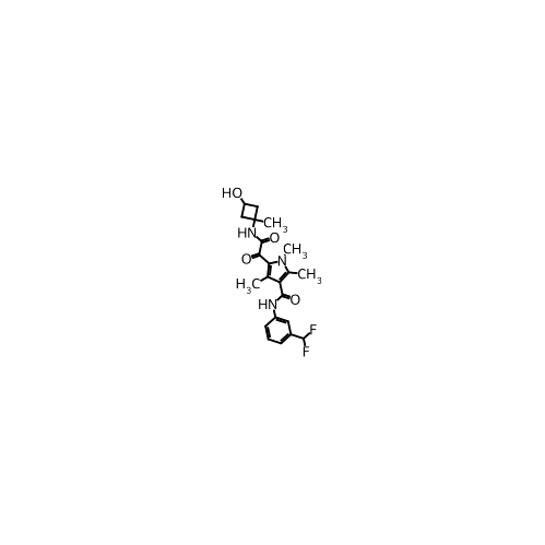 Cc1c(C(=O)Nc2cccc(C(F)F)c2)c(C)n(C)c1C(=O)C(=O)NC1(C)CC(O)C1